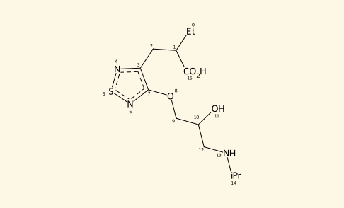 CCC(Cc1nsnc1OCC(O)CNC(C)C)C(=O)O